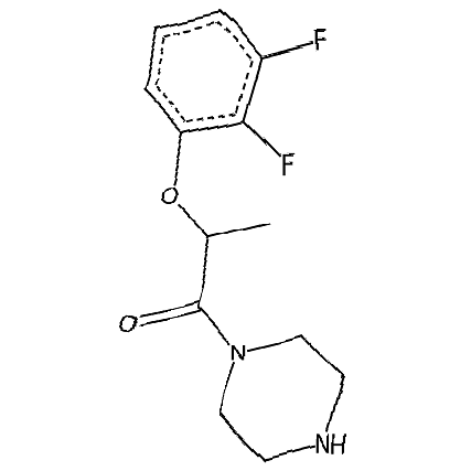 CC(Oc1cccc(F)c1F)C(=O)N1CCNCC1